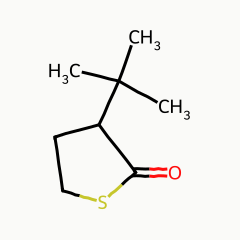 CC(C)(C)C1CCSC1=O